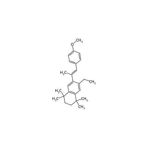 CCc1cc2c(cc1C(C)=Cc1ccc(OC)cc1)C(C)(C)CCC2(C)C